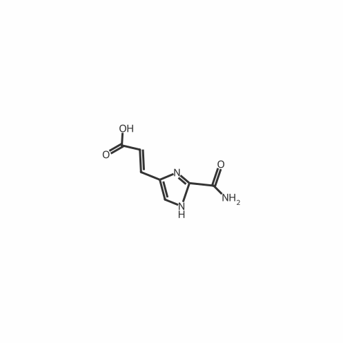 NC(=O)c1nc(C=CC(=O)O)c[nH]1